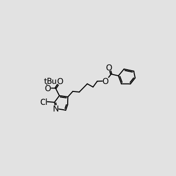 CC(C)(C)OC(=O)c1c(CCCCCOC(=O)c2ccccc2)ccnc1Cl